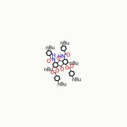 CCCCc1ccc(C(=O)Nc2cc(CCCC)c(OC(=O)c3ccc(CCCC)cc3)c3c2C(=O)c2c(NC(=O)c4ccc(CCCC)cc4)cc(CCCC)c(OC(=O)c4ccc(CCCC)cc4)c2C3=O)cc1